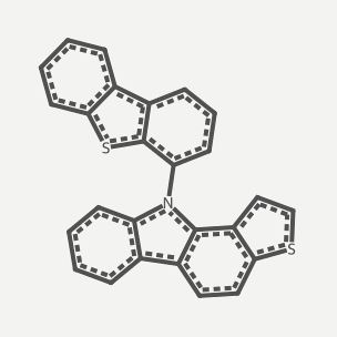 c1ccc2c(c1)sc1c(-n3c4ccccc4c4ccc5sccc5c43)cccc12